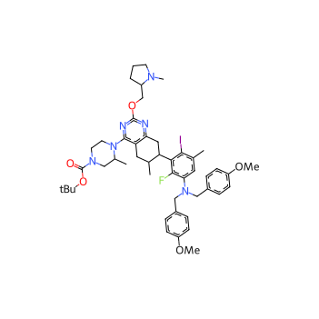 COc1ccc(CN(Cc2ccc(OC)cc2)c2cc(C)c(I)c(C3Cc4nc(OCC5CCCN5C)nc(N5CCN(C(=O)OC(C)(C)C)CC5C)c4CC3C)c2F)cc1